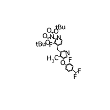 Cc1c(Cc2ccnc(N(C(=O)OC(C)(C)C)C(=O)OC(C)(C)C)c2F)cncc1Oc1ccc(C(F)F)cc1F